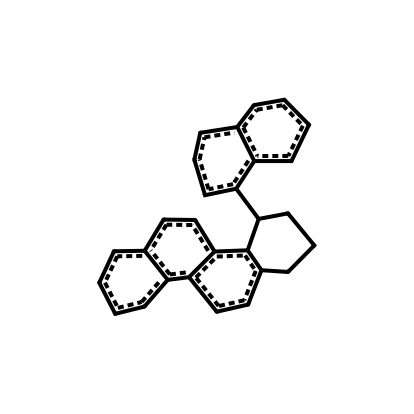 c1ccc2c(C3CCCc4ccc5c(ccc6ccccc65)c43)cccc2c1